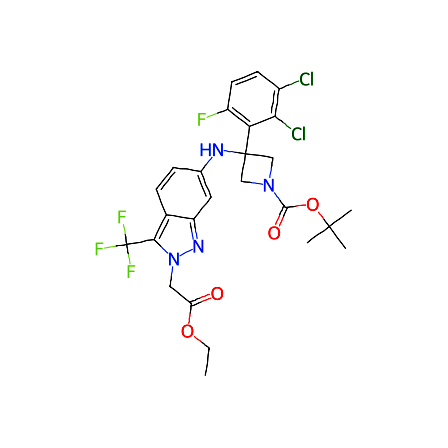 CCOC(=O)Cn1nc2cc(NC3(c4c(F)ccc(Cl)c4Cl)CN(C(=O)OC(C)(C)C)C3)ccc2c1C(F)(F)F